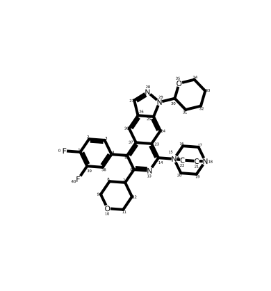 Fc1ccc(-c2c(C3CCOCC3)nc([N+]34CCN(CC3)CC4)c3cc4c(cnn4C4CCCCO4)cc23)cc1F